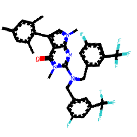 Cc1cc(C)c(-c2cn(C)c3nc(N(Cc4cc(F)cc(C(F)(F)F)c4)Cc4cc(F)cc(C(F)(F)F)c4)n(C)c(=O)c23)c(C)c1